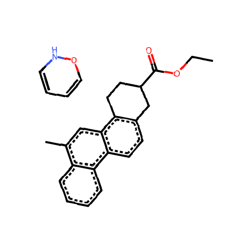 C1=CNOC=C1.CCOC(=O)C1CCc2c(ccc3c2cc(C)c2ccccc23)C1